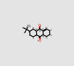 CCC(C)(C)C1CCC2C(=O)C3CCCC=C3C(=O)C2C1